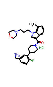 Cc1cccc2c(C(=O)N3CCC(c4cc(CN)ccc4F)CC3)cn(CCCN3CCOCC3)c12.Cl